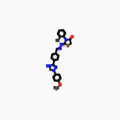 CCc1ccccc1N1C(=O)CS/C1=N\N=C\c1ccc(C2=NN(c3ccc(OC(F)(F)F)cc3)CN2)cc1